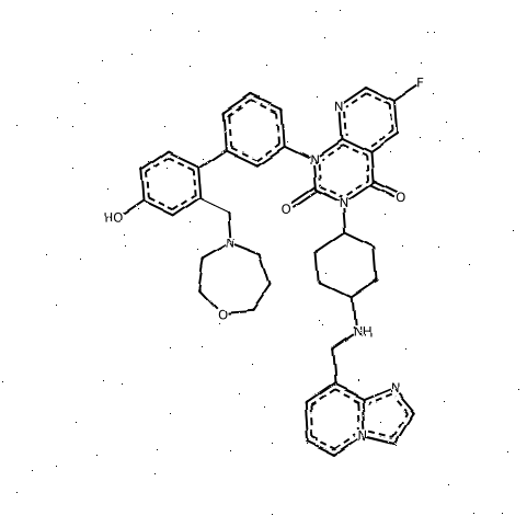 O=c1c2cc(F)cnc2n(-c2cccc(-c3ccc(O)cc3CN3CCCOCC3)c2)c(=O)n1C1CCC(NCc2cccn3ccnc23)CC1